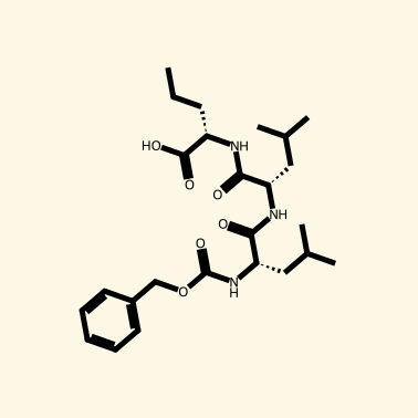 CCC[C@H](NC(=O)[C@H](CC(C)C)NC(=O)[C@H](CC(C)C)NC(=O)OCc1ccccc1)C(=O)O